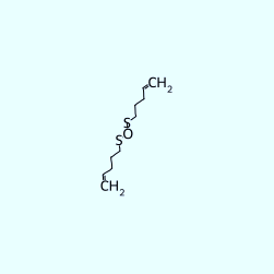 C=CCCCSOSCCCC=C